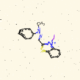 CN(N=Cc1sc2ccccc2[n+]1I)c1ccccc1